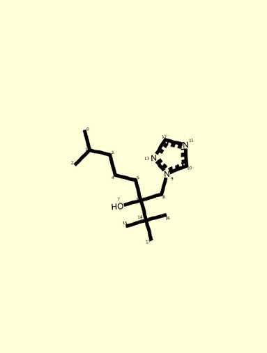 CC(C)CCCC(O)(Cn1cncn1)C(C)(C)C